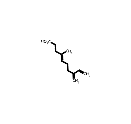 C=CC(=C)CC/C=C(\C)CCC(=O)O